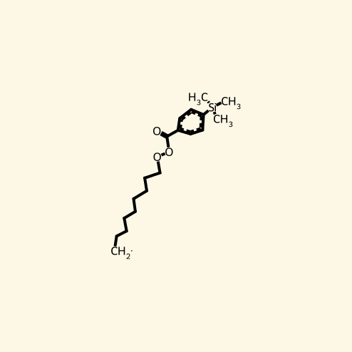 [CH2]CCCCCCCCOOC(=O)c1ccc([Si](C)(C)C)cc1